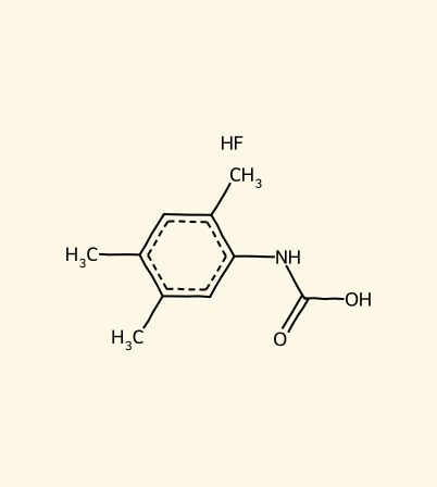 Cc1cc(C)c(NC(=O)O)cc1C.F